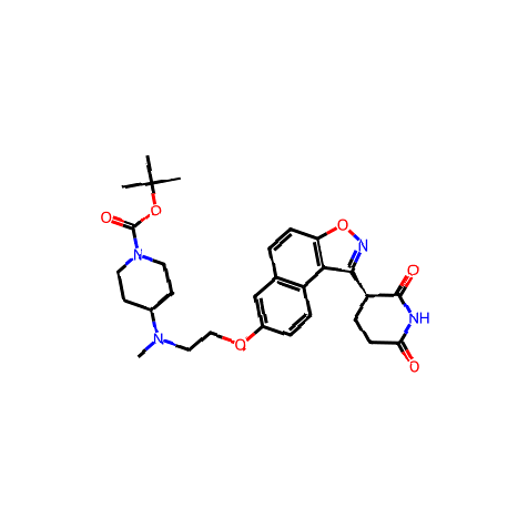 CN(CCOc1ccc2c(ccc3onc([C@@H]4CCC(=O)NC4=O)c32)c1)C1CCN(C(=O)OC(C)(C)C)CC1